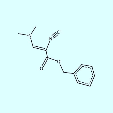 [C-]#[N+]C(=CN(C)C)C(=O)OCc1ccccc1